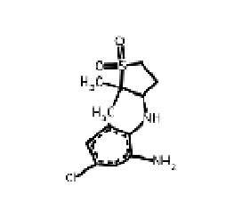 CC1(C)[C@H](Nc2ccc(Cl)cc2N)CCS1(=O)=O